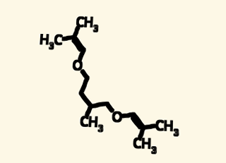 CC(C)=COCCC(C)COC=C(C)C